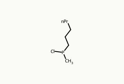 CCCCCCP(C)Cl